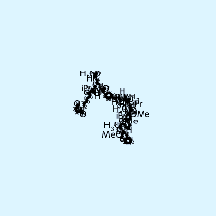 CC[C@H](C)[C@@H]([C@@H](CC(=O)N1CCC[C@H]1[C@H](OC)[C@@H](C)C(=S)N[C@@H](Cc1ccccc1)C(=O)OC)OC)N(C)C(=O)[C@@H](NC(=O)C(C)(C)NC(=O)OCc1ccc(NC(=O)[C@H](CCCNC(N)=O)NC(=O)[C@@H](NC(=O)CCCCCN2C(=O)C=CC2=O)C(C)C)cc1)C(C)C